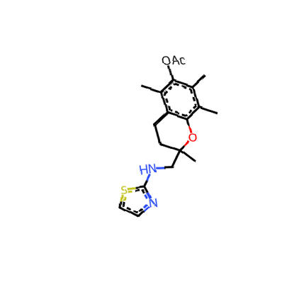 CC(=O)Oc1c(C)c(C)c2c(c1C)CCC(C)(CNc1nccs1)O2